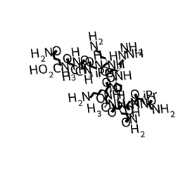 CC(C)[C@H](NC(=O)CN)C(=O)NCC(=O)N[C@@H](CCC(N)=O)C(=O)N[C@@H](C)C(=O)N[C@@H](CCCCN)C(=O)N1CCC[C@H]1C(=O)N[C@@H](CCCNC(=N)N)C(=O)N[C@@H](CCCCN)C(=O)N[C@H](C(=O)N[C@@H](C)C(=O)N[C@@H](C)C(=O)N[C@@H](CCC(N)=O)C(=O)O)C(C)C